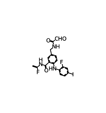 C=C(F)NC(=O)c1cc(CNC(=O)C=O)ccc1Nc1ccc(I)cc1F